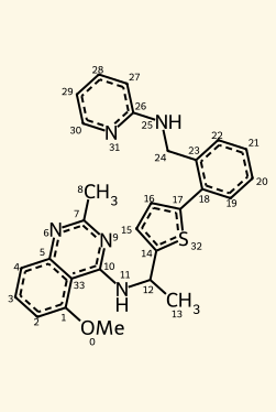 COc1cccc2nc(C)nc(NC(C)c3ccc(-c4ccccc4CNc4ccccn4)s3)c12